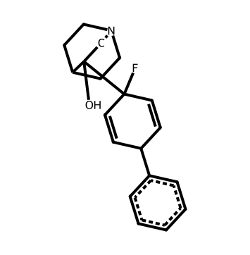 OC1(C2(F)C=CC(c3ccccc3)C=C2)CN2CCC1CC2